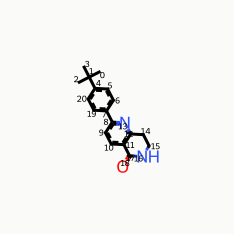 CC(C)(C)c1ccc(-c2ccc3c(n2)CCNC3=O)cc1